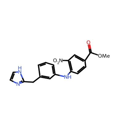 COC(=O)c1ccc(Nc2cccc(Cc3ncc[nH]3)c2)c([N+](=O)[O-])c1